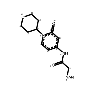 CNCC(=O)Nc1ccn(C2CCOCC2)c(=O)c1